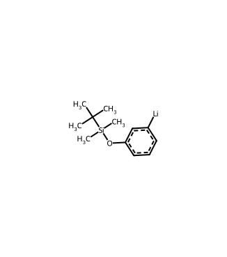 [Li][c]1cccc(O[Si](C)(C)C(C)(C)C)c1